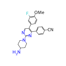 COc1ccc(-c2cnc(N3CCC(N)CC3)nc2-c2ccc(C#N)cc2)cc1F